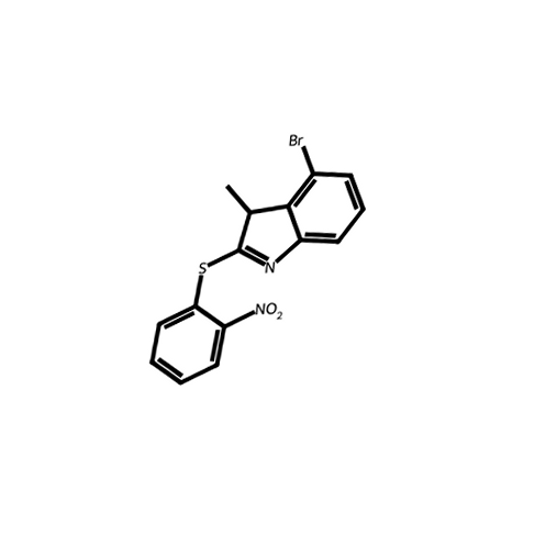 CC1C(Sc2ccccc2[N+](=O)[O-])=Nc2cccc(Br)c21